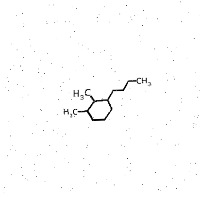 CCCCC1CCCC(C)C1C